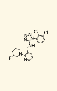 FC1CCCN(c2ncccc2CNc2nnnn2-c2cccc(Cl)c2Cl)C1